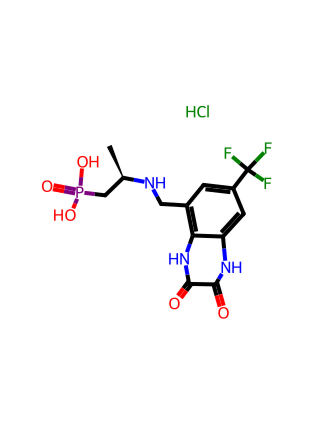 C[C@H](CP(=O)(O)O)NCc1cc(C(F)(F)F)cc2[nH]c(=O)c(=O)[nH]c12.Cl